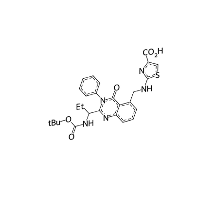 CCC(NC(=O)OC(C)(C)C)c1nc2cccc(CNc3nc(C(=O)O)cs3)c2c(=O)n1-c1ccccc1